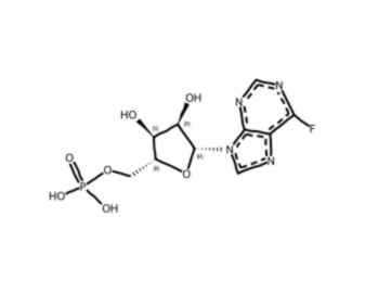 O=P(O)(O)OC[C@H]1O[C@@H](n2cnc3c(F)ncnc32)[C@H](O)[C@@H]1O